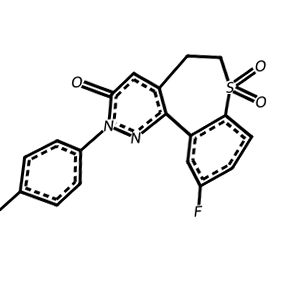 O=c1cc2c(nn1-c1ccc(Cl)cc1)-c1cc(F)ccc1S(=O)(=O)CC2